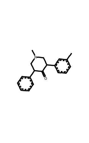 Cc1cccc(C2CN(C)CC(c3ccccc3)C2=O)c1